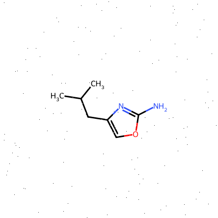 CC(C)Cc1coc(N)n1